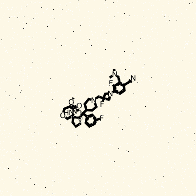 COC(=O)N[C@H]1CCC[C@@H]1[C@](CN1CCOCC1)(c1cccc(F)c1)C1CCN(CC2(F)CN(c3ccc(C#N)c(CN(C)C)c3F)C2)CC1